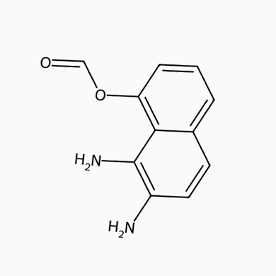 Nc1ccc2cccc(OC=O)c2c1N